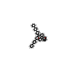 c1ccc(-c2ccc(-c3ccc(N(c4ccc(-c5ccc(-c6ccccc6)cc5)cc4)c4cccc5c4-c4ccccc4C54C5CC6CC(C5)CC4C6)cc3)cc2)cc1